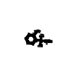 CCC(CC)(OC)c1ccccc1C(C)C